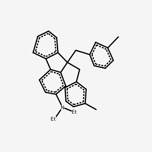 CCN(CC)c1ccc2c(c1)C(Cc1cccc(C)c1)(Cc1cccc(C)c1)c1ccccc1-2